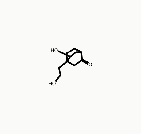 O=C1CC2(CCO)CCC1CC2O